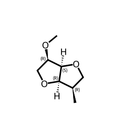 CO[C@@H]1CO[C@H]2[C@@H]1OC[C@H]2C